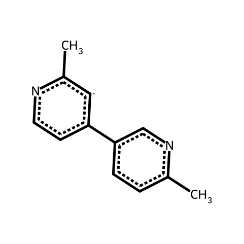 Cc1[c]c(-c2ccc(C)nc2)ccn1